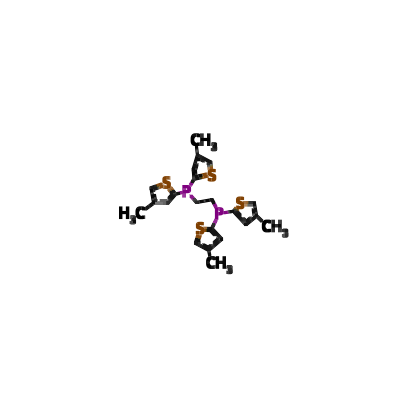 Cc1csc(P(CCP(c2cc(C)cs2)c2cc(C)cs2)c2cc(C)cs2)c1